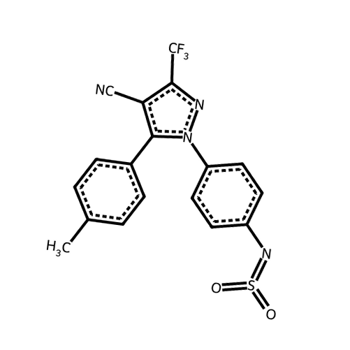 Cc1ccc(-c2c(C#N)c(C(F)(F)F)nn2-c2ccc(N=S(=O)=O)cc2)cc1